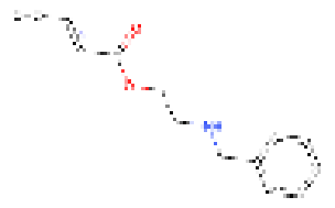 O=C/C=C/C(=O)OCCNCc1ccccc1